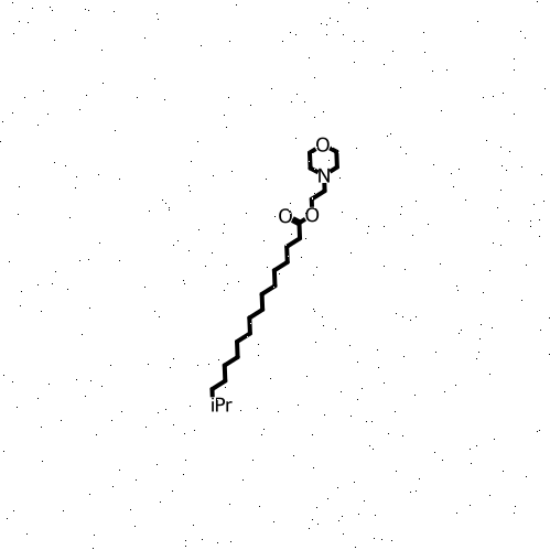 CC(C)CCCCCCCCCCCCCCC(=O)OCCN1CCOCC1